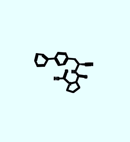 N#C[C@H](Cc1ccc(-c2ccccc2)cc1)NC(=O)C1CCCN1C(=O)O